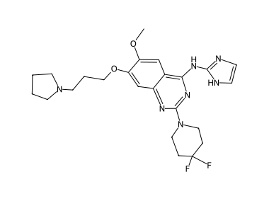 COc1cc2c(Nc3ncc[nH]3)nc(N3CCC(F)(F)CC3)nc2cc1OCCCN1CCCC1